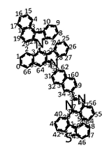 c1ccc2c(-n3c4ccccc4c4c5ccccc5ccc43)c3c4ccccc4n(-c4ccc5cc(-c6nc(-c7cccc8sc9ccccc9c78)c7ccccc7n6)ccc5c4)c3cc2c1